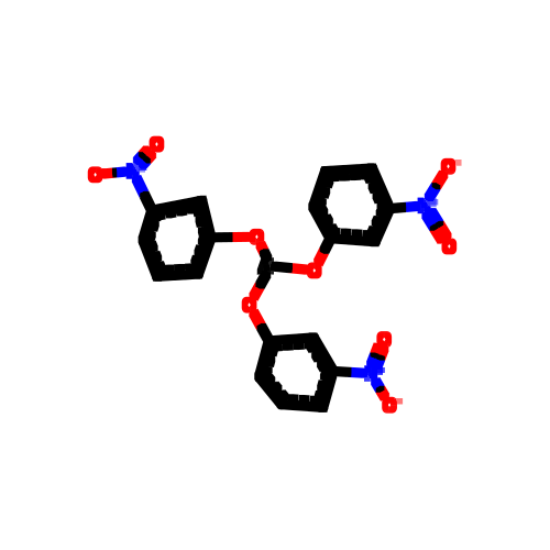 O=[N+]([O-])c1cccc([O][Al]([O]c2cccc([N+](=O)[O-])c2)[O]c2cccc([N+](=O)[O-])c2)c1